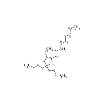 CCCCC(CCCC)(CCCC)CCCC[SiH2]OCCOCC